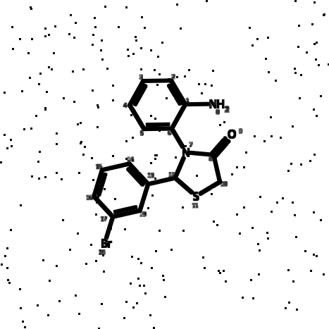 Nc1ccccc1N1C(=O)CSC1c1cccc(Br)c1